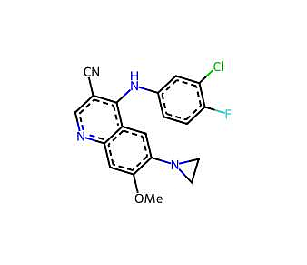 COc1cc2ncc(C#N)c(Nc3ccc(F)c(Cl)c3)c2cc1N1CC1